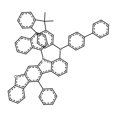 CC1(C)c2ccccc2-c2ccc(N(c3ccc(-c4ccccc4)cc3)c3cccc4c5c(-c6ccccc6)c6c(cc5n(-c5cccc7ccccc57)c34)oc3ccccc36)cc21